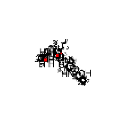 CC[C@H](C)[C@@H]([C@@H](CC(=O)N1CCC[C@H]1[C@H](OC)[C@@H](C)C(=O)N[C@@H](Cc1ccccc1)C(=O)O)OC)N(C)C(=O)[C@@H](NC(=O)C1N[C@H]2CC[C@H]1[C@@H]2C)C(C)C